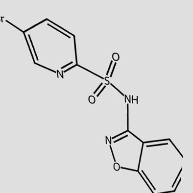 O=S(=O)(Nc1noc2ccccc12)c1ccc(Br)cn1